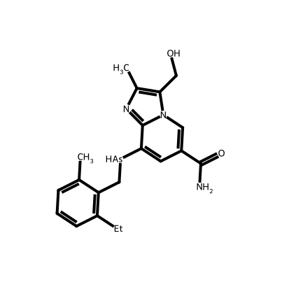 CCc1cccc(C)c1C[AsH]c1cc(C(N)=O)cn2c(CO)c(C)nc12